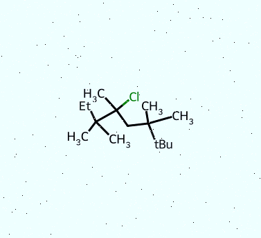 CCC(C)(C)C(C)(Cl)CC(C)(C)C(C)(C)C